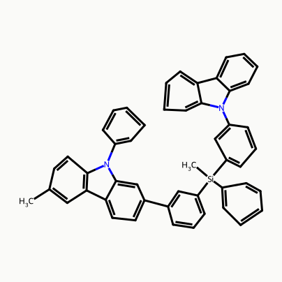 Cc1ccc2c(c1)c1ccc(-c3cccc([Si](C)(c4ccccc4)c4cccc(-n5c6ccccc6c6ccccc65)c4)c3)cc1n2-c1ccccc1